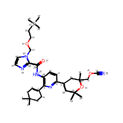 CC1(C)CC=C(c2nc(C3CC(C)(C)OC(C)(COC#N)C3)ccc2NC(=O)c2nccn2COCC[Si](C)(C)C)CC1